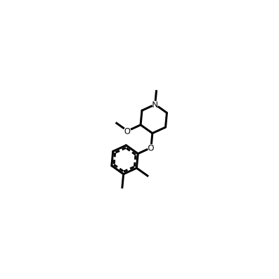 COC1CN(C)CCC1Oc1cccc(C)c1C